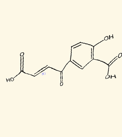 O=C(O)/C=C/C(=O)c1ccc(O)c(C(=O)O)c1